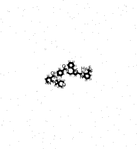 O=C(Nc1ccc(C(=O)N2CCc3cc(-c4nc5cccc(C(F)(F)F)c5[nH]4)sc3-c3ccccc32)cc1)c1cccnc1N1CC2(CCOCC2)C1